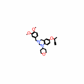 C#CC(C)Oc1ccc2c(c1)CN(Cc1ccc(OC)c(OC)c1)CN2C1CCOCC1